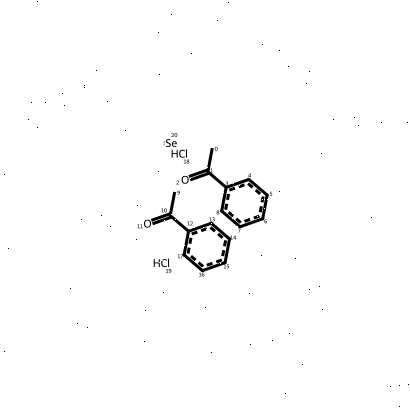 CC(=O)c1ccccc1.CC(=O)c1ccccc1.Cl.Cl.[Se]